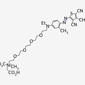 CCN(CCOCCOCCOCCOCC[N+](C)(C)CC(=O)O)c1ccc(/N=N/c2sc(C#N)c(C)c2C#N)c(C)c1